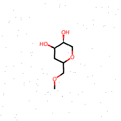 COCC1CC(O)[C@@H](O)CO1